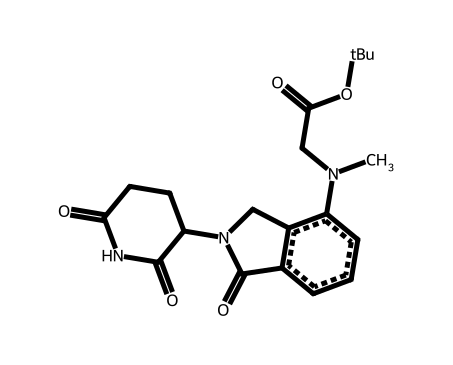 CN(CC(=O)OC(C)(C)C)c1cccc2c1CN(C1CCC(=O)NC1=O)C2=O